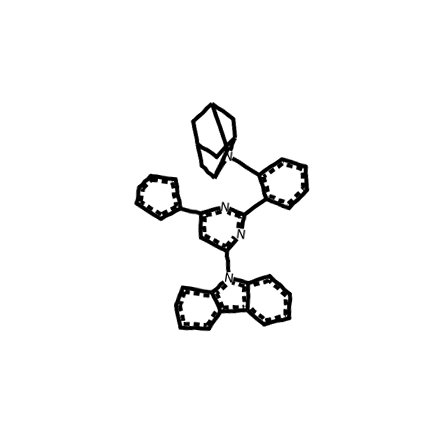 c1ccc(-c2cc(-n3c4ccccc4c4ccccc43)nc(-c3ccccc3N3C4CC5CC(C4)CC3C5)n2)cc1